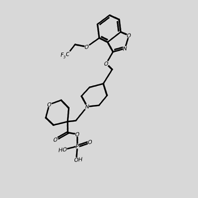 O=C(OP(=O)(O)O)C1(CN2CCC(COc3noc4cccc(OCC(F)(F)F)c34)CC2)CCOCC1